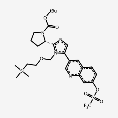 CC(C)(C)OC(=O)N1CCC[C@H]1c1ncc(-c2cnc3cc(OS(=O)(=O)C(F)(F)F)ccc3c2)n1COCC[Si](C)(C)C